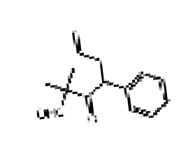 C=CCC(C(=O)C(C)(C)[C]=O)c1ccccc1